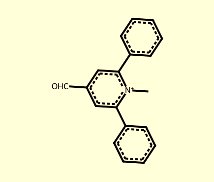 C[n+]1c(-c2ccccc2)cc(C=O)cc1-c1ccccc1